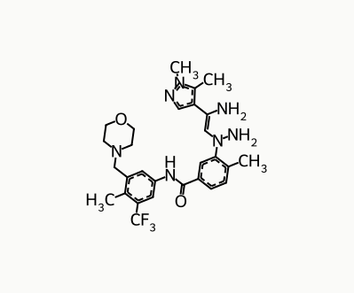 Cc1ccc(C(=O)Nc2cc(CN3CCOCC3)c(C)c(C(F)(F)F)c2)cc1N(N)/C=C(\N)c1cnn(C)c1C